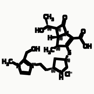 C[C@@H](O)[C@H]1C(=O)N2C(C(=O)O)=C(S[C@@H]3CN[C@H](CC[n+]4ccn(C)c4CO)C3)[C@H](C)[C@H]12.[Cl-]